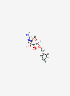 CNC1=N[C@@H]2[C@@H](O)[C@H](O)[C@@H]([C@H](C)OCCCc3ccc(F)cc3)O[C@@H]2S1